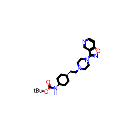 CC(C)(C)OC(=O)N[C@H]1CC[C@H](CCN2CCN(c3noc4ccncc34)CC2)CC1